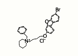 Brc1ccc2c(c1)oc1cc(OCCCC[N+]3(Cc4ccccc4)CCCCC3)ccc12.[Cl-]